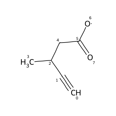 C#CC(C)CC([O])=O